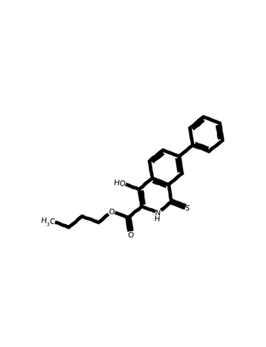 CCCCOC(=O)c1[nH]c(=S)c2cc(-c3ccccc3)ccc2c1O